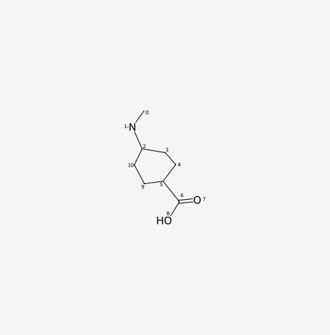 C[N]C1CCC(C(=O)O)CC1